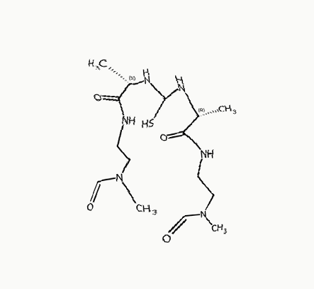 C[C@H](NC(S)N[C@H](C)C(=O)NCCN(C)C=O)C(=O)NCCN(C)C=O